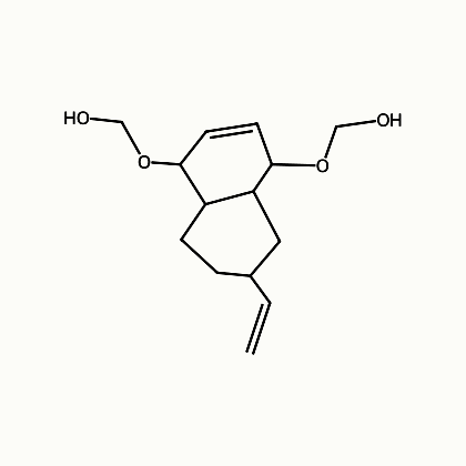 C=CC1CCC2C(OCO)C=CC(OCO)C2C1